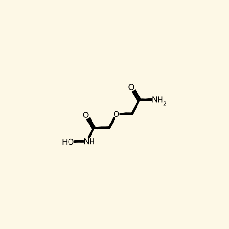 NC(=O)COCC(=O)NO